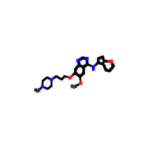 COc1cc2c(Nc3ccc4occcc3-4)ncnc2cc1OCCCN1CCN(C)CC1